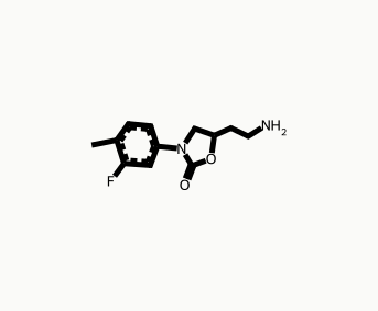 Cc1ccc(N2CC(CCN)OC2=O)cc1F